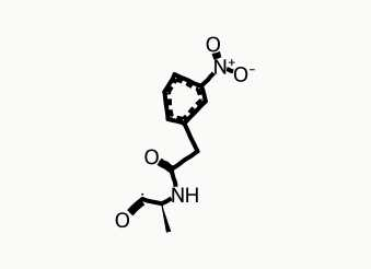 C[C@@H]([C]=O)NC(=O)Cc1cccc([N+](=O)[O-])c1